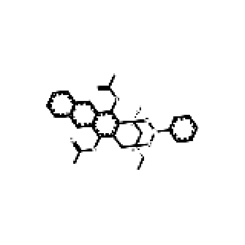 CC[C@]12Cc3c(c(OC(C)=O)c4cc5ccccc5cc4c3OC(C)=O)[C@H](C1)OB(c1ccccc1)O2